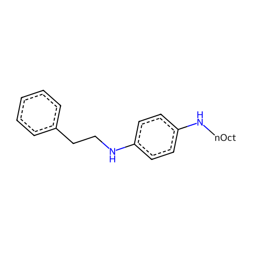 CCCCCCCCNc1ccc(NCCc2ccccc2)cc1